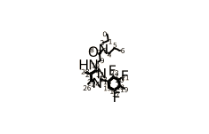 CCCN(CCC)C(=O)CNc1nc(-c2cc(F)c(C)c(F)c2F)nc(C)c1C